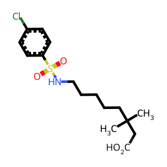 CC(C)(CCCCCNS(=O)(=O)c1ccc(Cl)cc1)CC(=O)O